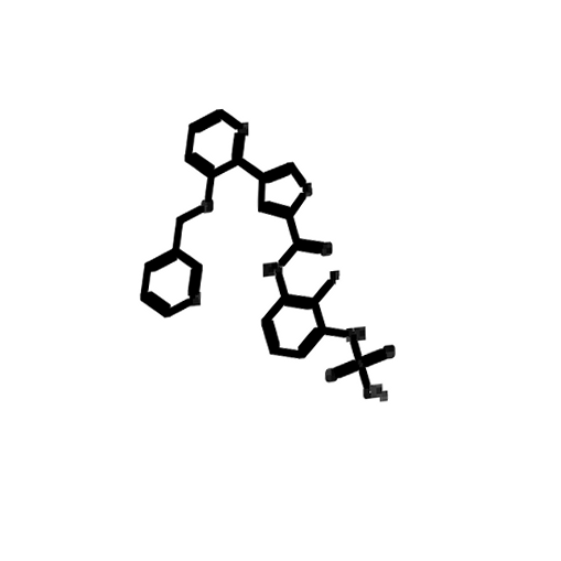 CS(=O)(=O)Nc1cccc(NC(=O)c2cc(-c3ncccc3OCc3cccnc3)cs2)c1F